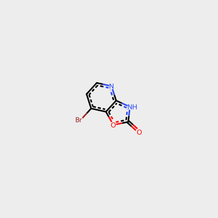 O=c1[nH]c2nccc(Br)c2o1